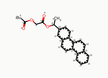 CCC(C)C(=O)OCC(=O)OC(C)c1ccc2c(ccc3c4ccccc4ccc23)c1